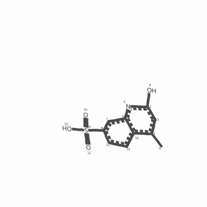 Cc1cc(O)nc2cc(S(=O)(=O)O)[c]cc12